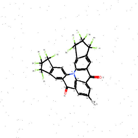 O=c1c2cc3c(cc2n2c4cc5c(cc4c(=O)c4cc(C(F)(F)F)cc1c42)C(F)(F)C(F)(F)C5(F)F)C(F)(F)C(F)(F)C3(F)F